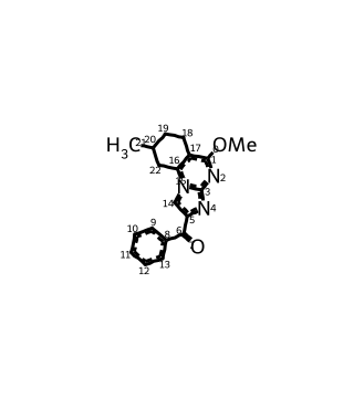 COc1nc2nc(C(=O)c3ccccc3)cn2c2c1CCC(C)C2